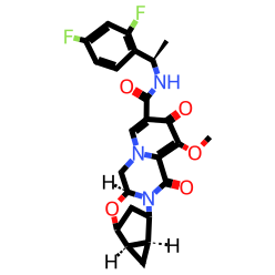 COc1c2n(cc(C(=O)N[C@H](C)c3ccc(F)cc3F)c1=O)C[C@@H]1OC3CC([C@H]4C[C@@H]34)N1C2=O